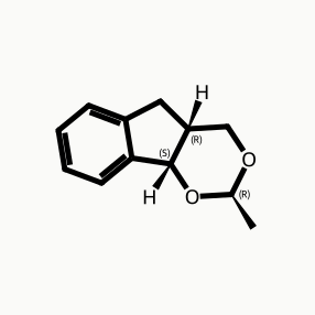 C[C@@H]1OC[C@H]2Cc3ccccc3[C@H]2O1